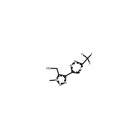 Cn1nnc(-c2ccc(C(F)(F)F)nn2)c1CO